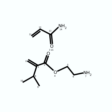 C=C(C(=O)OCCN)C(C)C.C=CC(N)=O